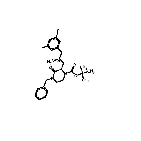 CC(C)(C)OC(=O)N1CCN(Cc2ccccc2)C(=O)C1C[C@@H](N)Cc1cc(F)cc(F)c1